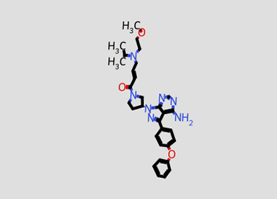 COCCN(C/C=C/C(=O)N1CC[C@@H](n2nc(-c3ccc(Oc4ccccc4)cc3)c3c(N)ncnc32)C1)C(C)C